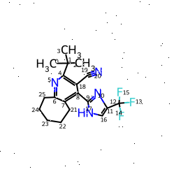 CC(C)(C)c1nc2c(c(-c3nc(C(F)(F)F)c[nH]3)c1C#N)CCCCC2